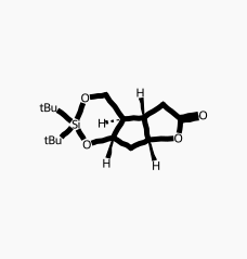 CC(C)(C)[Si]1(C(C)(C)C)OC[C@H]2[C@@H]3CC(=O)O[C@@H]3C[C@@H]2O1